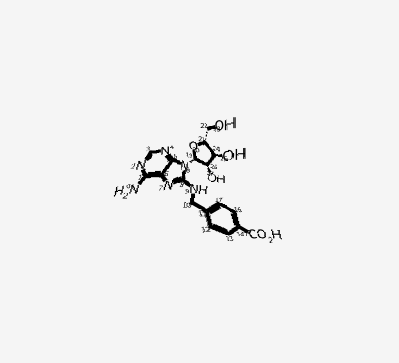 Nc1ncnc2c1nc(NCc1ccc(C(=O)O)cc1)n2[C@@H]1O[C@H](CO)[C@@H](O)[C@H]1O